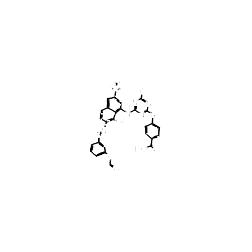 Cc1nc(Nc2ccc(C(=O)O)cc2)nc(Nc2cc(S(=O)(=O)O)cc3ccc(N=Nc4cccc(OC=O)c4)c(O)c23)n1